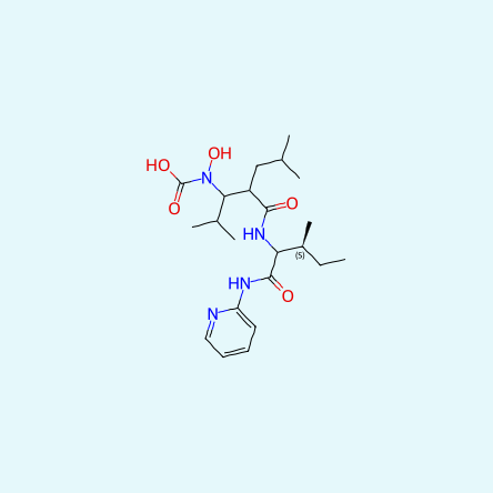 CC[C@H](C)C(NC(=O)C(CC(C)C)C(C(C)C)N(O)C(=O)O)C(=O)Nc1ccccn1